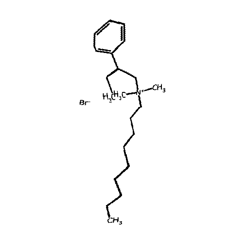 CCCCCCCCC[N+](C)(C)CC(CC)c1ccccc1.[Br-]